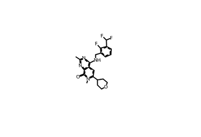 Cc1nc(NCc2cccc(C(F)F)c2F)c2cc(C3CCOCC3)n(C)c(=O)c2n1